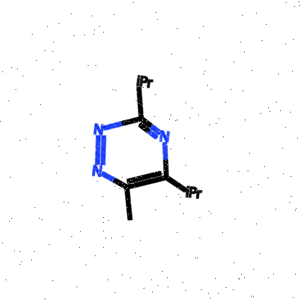 Cc1nnc(C(C)C)nc1C(C)C